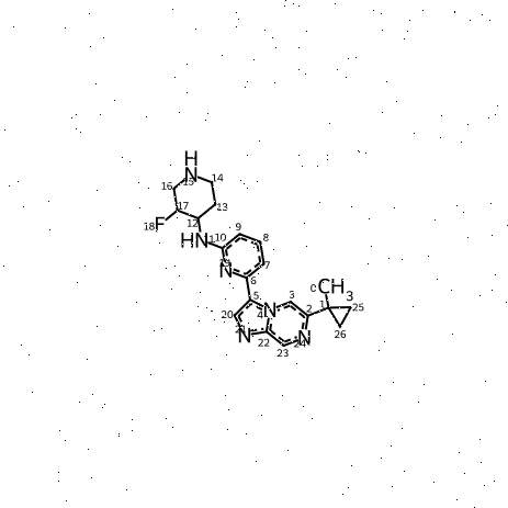 CC1(c2cn3c(-c4cccc(NC5CCNCC5F)n4)cnc3cn2)CC1